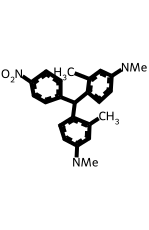 CNc1ccc(C(c2ccc([N+](=O)[O-])cc2)c2ccc(NC)cc2C)c(C)c1